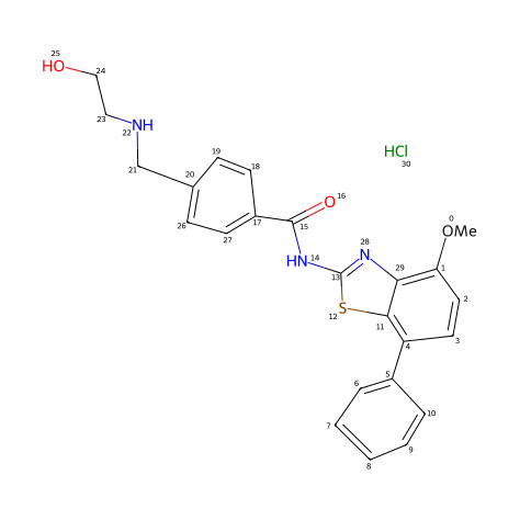 COc1ccc(-c2ccccc2)c2sc(NC(=O)c3ccc(CNCCO)cc3)nc12.Cl